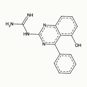 N=C(N)Nc1nc(-c2ccccc2)c2c(O)cccc2n1